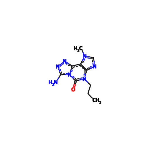 CCCn1c(=O)n2c(N)nnc2c2c1ncn2C